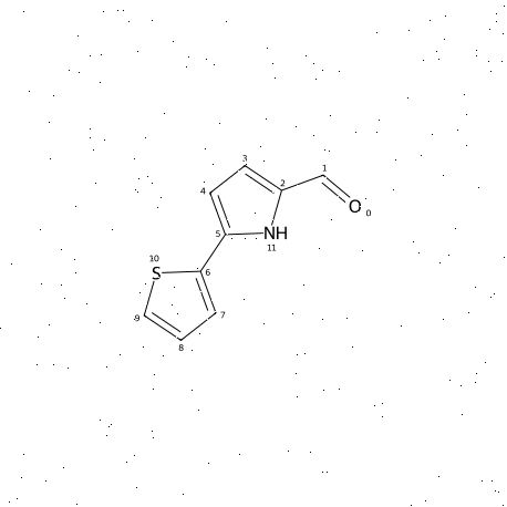 O=Cc1ccc(-c2cccs2)[nH]1